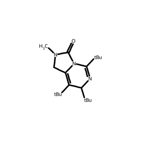 CN1CC2=C(C(C)(C)C)C(C(C)(C)C)N=C(C(C)(C)C)N2C1=O